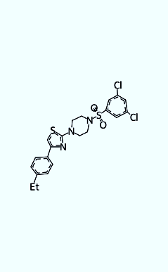 CCc1ccc(-c2csc(N3CCN(S(=O)(=O)c4cc(Cl)cc(Cl)c4)CC3)n2)cc1